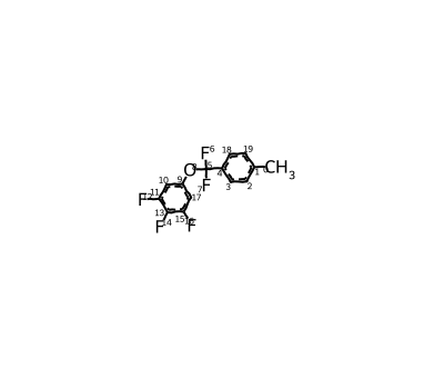 Cc1ccc(C(F)(F)Oc2cc(F)c(F)c(F)c2)cc1